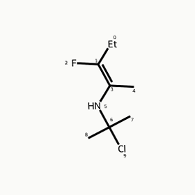 CC/C(F)=C(\C)NC(C)(C)Cl